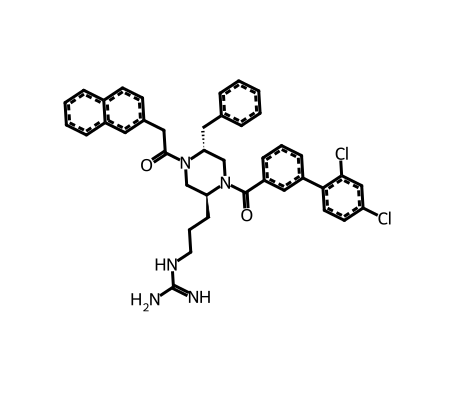 N=C(N)NCCC[C@H]1CN(C(=O)Cc2ccc3ccccc3c2)[C@H](Cc2ccccc2)CN1C(=O)c1cccc(-c2ccc(Cl)cc2Cl)c1